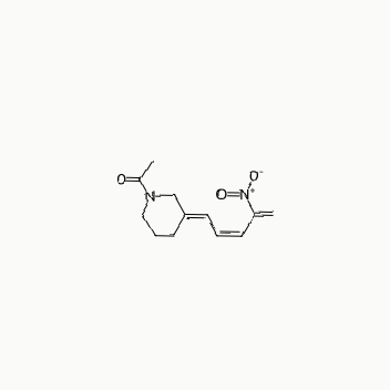 C=C(/C=C\C=C1/CCCN(C(C)=O)C1)[N+](=O)[O-]